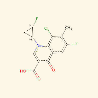 Cc1c(F)cc2c(=O)c(C(=O)O)cn([C@@H]3C[C@@H]3F)c2c1Cl